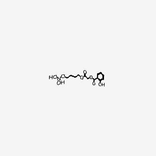 O=C(COC(=O)c1ccccc1O)OCCCCON(O)O